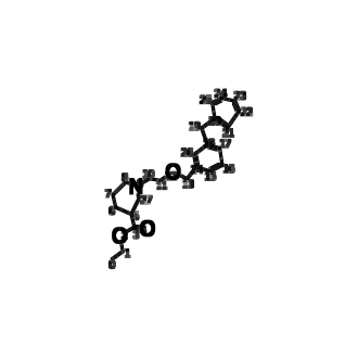 CCOC(=O)C1CCCN(CCOCc2cccc(Cc3ccccc3)c2)C1